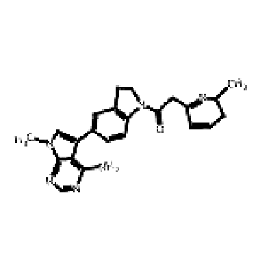 CC1CC=CC(CC(=O)N2CCc3cc(-c4cn(C)c5ncnc(N)c45)ccc32)=N1